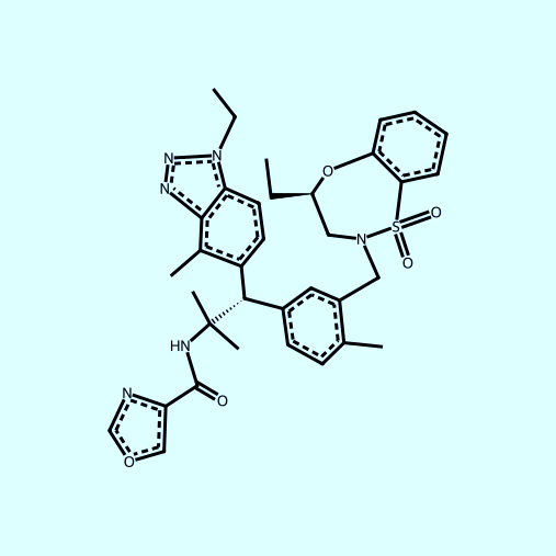 CC[C@@H]1CN(Cc2cc([C@@H](c3ccc4c(nnn4CC)c3C)C(C)(C)NC(=O)c3cocn3)ccc2C)S(=O)(=O)c2ccccc2O1